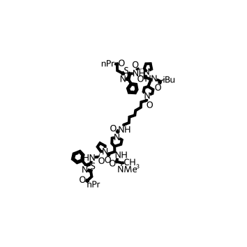 CCCC(=O)Cc1nc(-c2ccccc2)c(NC(=O)[C@@H]2CCCN2C(=O)[C@@H](NC(=O)[C@H](C)CC)C2CCN(C(=O)CCCCCCCNC(=O)N3CCC([C@H](NC(=O)[C@H](C)NC)C(=O)N4CCC[C@H]4C(=O)Nc4sc(CC(=O)CCC)nc4-c4ccccc4)CC3)CC2)s1